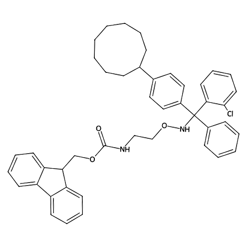 O=C(NCCONC(c1ccccc1)(c1ccc(C2CCCCCCCC2)cc1)c1ccccc1Cl)OCC1c2ccccc2-c2ccccc21